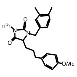 CCCN1C(=O)C(CCCc2ccc(OC)cc2)N(Cc2ccc(C)c(C)c2)C1=O